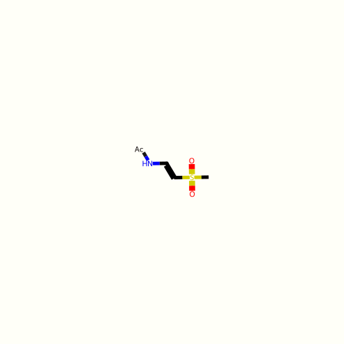 CC(=O)N/C=C/S(C)(=O)=O